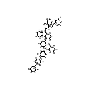 C/C=C\C(=C/CC)C(C)(C)C(=C/Cn1c2ccccc2c2c(-c3cccc(N(c4ccc(-c5ccc(-c6ccccc6)cc5)cc4)c4ccccc4C)c3)cccc21)/C(C)=C\C